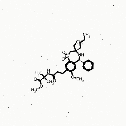 CCCC[C@]1(CC)CS(=O)(=O)c2cc(CCC(=O)NC(C)(C)C(=O)OC)c(OC)cc2[C@@H](c2ccccc2)N1